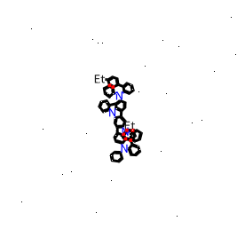 CCc1ccc(-c2ccccc2N(c2ccccc2)c2ccc3c4cc5c(cc4n4c6ccccc6c2c34)c2ccc(N(c3ccccc3)c3ccccc3-c3ccc(CC)cc3)c3c4ccccc4n5c23)cc1